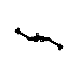 C=C(C)C(=O)OCCCCCCCCCOc1ccc(C(=O)Oc2cc(F)c(OC(=O)c3ccc(OCCCCCCCCCOC(=O)C(=C)C)cc3)c(F)c2)cc1